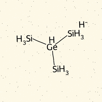 [H-].[SiH3][GeH]([SiH3])[SiH3]